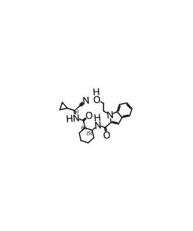 N#C[C@@H](NC(=O)[C@@H]1CCCC[C@@H]1NC(=O)c1cc2ccccc2n1CCO)C1CC1